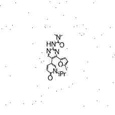 Cc1ccc(-c2nc(NC(=O)N(C)C)ncc2-c2ccc(=O)n(C(C)C)c2)o1